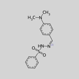 CN(C)c1ccc(/C=N\NS(=O)(=O)c2ccccc2)cc1